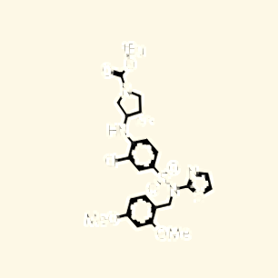 COc1ccc(CN(c2nccs2)S(=O)(=O)c2ccc(NC3CN(C(=O)OC(C)(C)C)C[C@@H]3C)c(Cl)c2)c(OC)c1